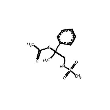 CC(=O)OC(C)(CNS(C)(=O)=O)c1ccccc1